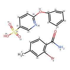 Cc1ccc(C(N)=O)c(Br)c1.O=S(=O)(O)c1ccc(Oc2ccccc2)nc1